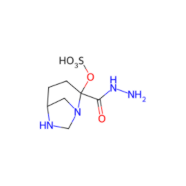 NNC(=O)C1(OS(=O)(=O)O)CCC2CN1CN2